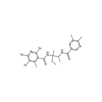 [2H]c1nc([2H])c(C(=O)NC(C)(CC)C(C)NC(=O)c2cnc(C)c(C)c2)c(C)c1[2H]